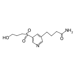 NC(=O)CCCc1cncc(S(=O)(=O)CCCO)c1